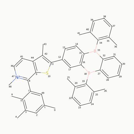 Cc1cc(C)c(C)c(-c2c3sc(-c4ccc5c(c4)B(c4c(C)cccc4C)c4ccccc4B5c4c(C)cccc4C)c(C)c3cc[n+]2C)c1